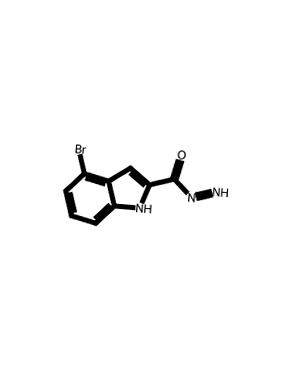 N=NC(=O)c1cc2c(Br)cccc2[nH]1